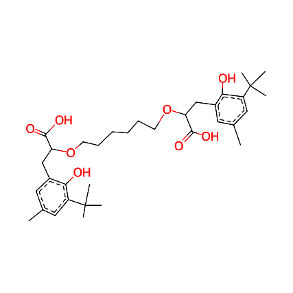 Cc1cc(CC(OCCCCCCOC(Cc2cc(C)cc(C(C)(C)C)c2O)C(=O)O)C(=O)O)c(O)c(C(C)(C)C)c1